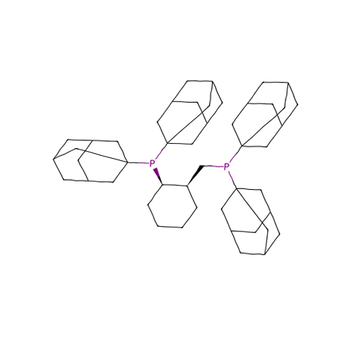 C1CC[C@@H](P(C23CC4CC(CC(C4)C2)C3)C23CC4CC(CC(C4)C2)C3)[C@@H](CP(C23CC4CC(CC(C4)C2)C3)C23CC4CC(CC(C4)C2)C3)C1